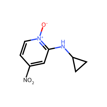 O=[N+]([O-])c1cc[n+]([O-])c(NC2CC2)c1